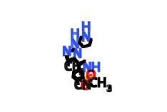 CS(=O)(=O)c1c(C#N)ccc2c(-c3nc(N[C@H]4CCCNC4)ncc3C(F)(F)F)c[nH]c12